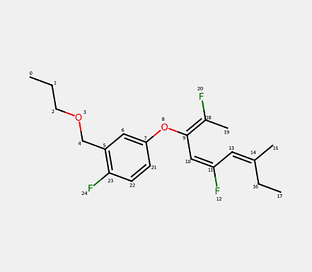 CCCOCc1cc(OC(/C=C(F)\C=C(\C)CC)=C(/C)F)ccc1F